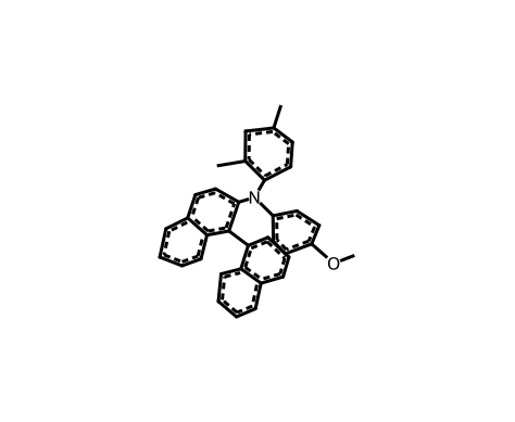 COc1ccc(N(c2ccc(C)cc2C)c2ccc3ccccc3c2-c2cccc3ccccc23)cc1